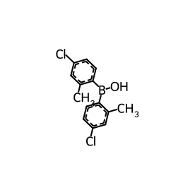 Cc1cc(Cl)ccc1B(O)c1ccc(Cl)cc1C